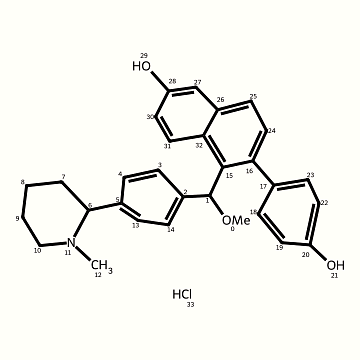 COC(c1ccc(C2CCCCN2C)cc1)c1c(-c2ccc(O)cc2)ccc2cc(O)ccc12.Cl